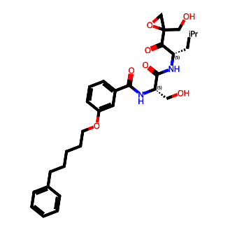 CC(C)C[C@H](NC(=O)[C@H](CO)NC(=O)c1cccc(OCCCCCc2ccccc2)c1)C(=O)C1(CO)CO1